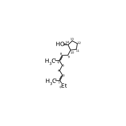 CCC(C)=CCCC(C)=CCC1CCCC1O